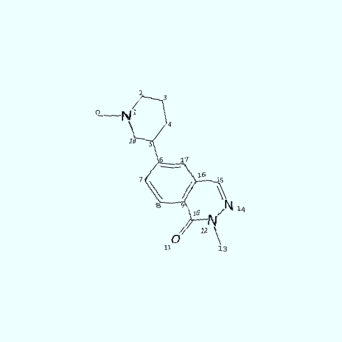 CN1CCCC(c2ccc3c(=O)n(C)ncc3c2)C1